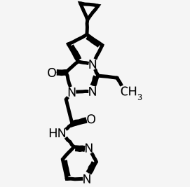 CCc1nn(CC(=O)Nc2ccncn2)c(=O)c2cc(C3CC3)cn12